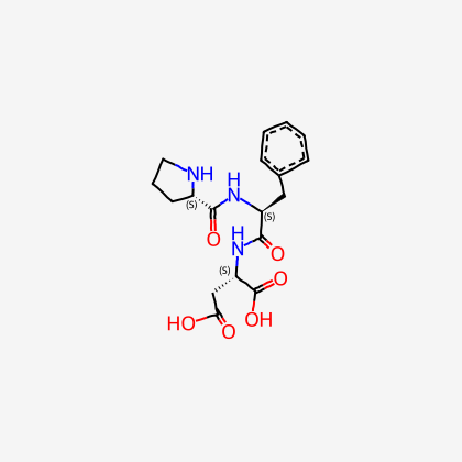 O=C(O)C[C@H](NC(=O)[C@H](Cc1ccccc1)NC(=O)[C@@H]1CCCN1)C(=O)O